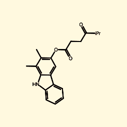 Cc1c(OC(=O)CCC(=O)C(C)C)cc2c([nH]c3ccccc32)c1C